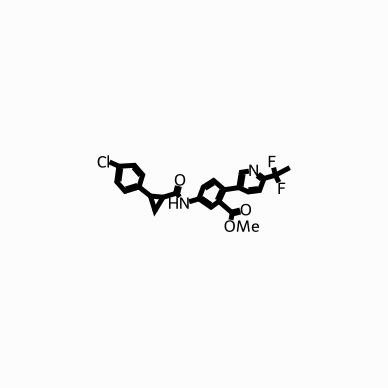 COC(=O)c1cc(NC(=O)C2CC2c2ccc(Cl)cc2)ccc1-c1ccc(C(C)(F)F)nc1